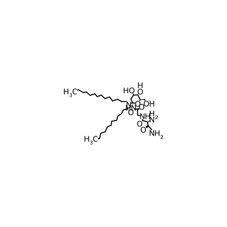 CCCCCCCCCCCCCCN(C(=O)CCCCCCCCCCC)[C@@]1(NC(=O)CNC(=O)[C@@H](N)C(=O)CN)C[C@@H](O)[C@H](O)[C@@H](CO)O1